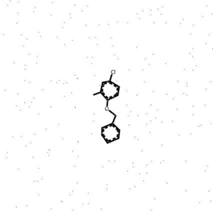 Cc1cc(Cl)ccc1OCc1ccccc1